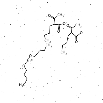 CCCCC(C(C)=O)C(=O)[O-].CCCCC(C(C)=O)C(=O)[O-].CCCC[O][Sn+2][O]CCCC